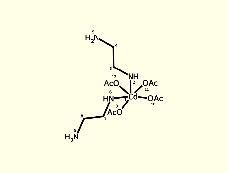 CC(=O)[O][Cd]([NH]CCN)([NH]CCN)([O]C(C)=O)([O]C(C)=O)[O]C(C)=O